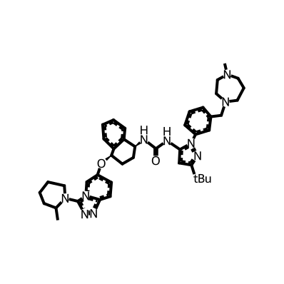 CC1CCCCN1c1nnc2ccc(O[C@@H]3CC[C@H](NC(=O)Nc4cc(C(C)(C)C)nn4-c4cccc(CN5CCCN(C)CC5)c4)c4ccccc43)cn12